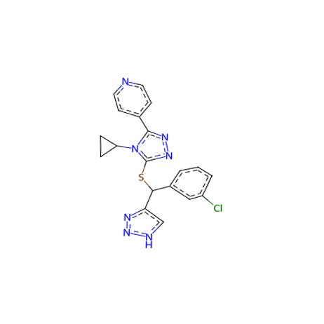 Clc1cccc(C(Sc2nnc(-c3ccncc3)n2C2CC2)c2c[nH]nn2)c1